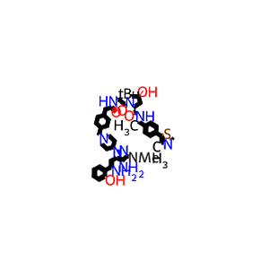 CNc1nn(C2CCN(CC3CCC(CC(=O)N[C@H](C(=O)N4C[C@H](O)C[C@H]4C(=O)N[C@@H](C)c4ccc(-c5scnc5C)cc4)C(C)(C)C)CC3)CC2)c(/C=C(\N)c2ccccc2O)c1N